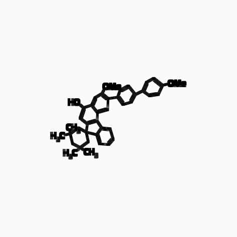 COc1ccc(-c2ccc(-c3cc4c5c(cc(O)c4cc3OC)C3(CC(C)(C)CC(C)(C)C3)c3ccccc3-5)cc2)cc1